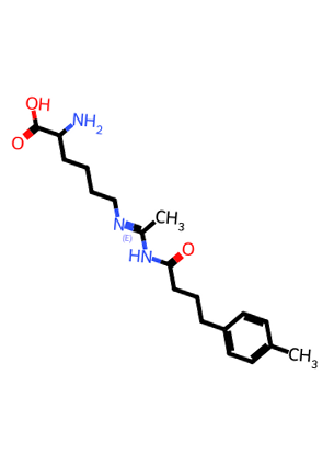 C/C(=N\CCCCC(N)C(=O)O)NC(=O)CCCc1ccc(C)cc1